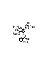 COC1NC(N)=Nc2c1c(CO[C@H](c1ccccc1[N+](=O)[O-])C(C)(C)C)cn2[C@H]1CC(O)[C@@H](CO)O1